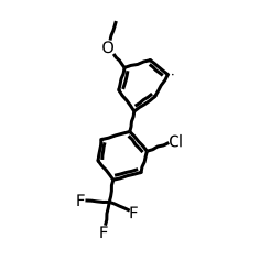 COc1c[c]cc(-c2ccc(C(F)(F)F)cc2Cl)c1